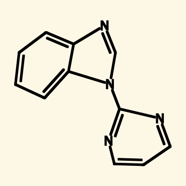 c1cnc(-n2cnc3ccccc32)nc1